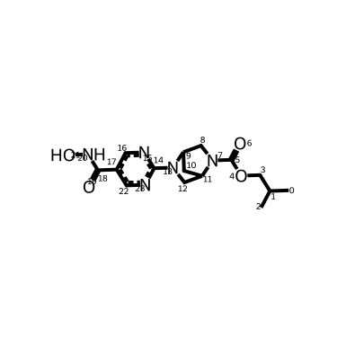 CC(C)COC(=O)N1CC2CC1CN2c1ncc(C(=O)NO)cn1